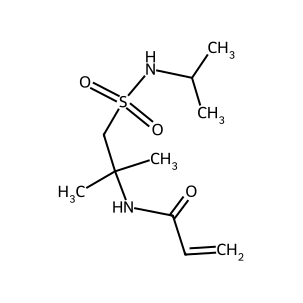 C=CC(=O)NC(C)(C)CS(=O)(=O)NC(C)C